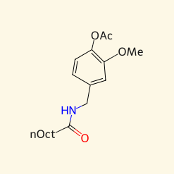 CCCCCCCCC(=O)NCc1ccc(OC(C)=O)c(OC)c1